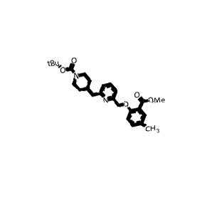 COC(=O)c1cc(C)ccc1OCc1cccc(CC2CCN(C(=O)OC(C)(C)C)CC2)n1